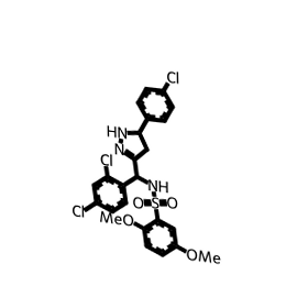 COc1ccc(OC)c(S(=O)(=O)NC(C2=NNC(c3ccc(Cl)cc3)C2)c2ccc(Cl)cc2Cl)c1